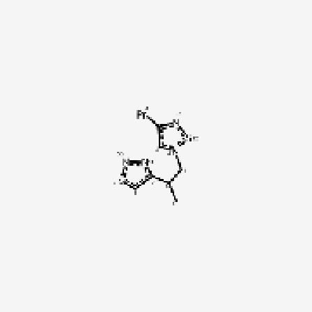 CC(C)c1c[n+](CC(C)c2csnn2)sn1